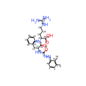 Cc1cccc(/N=N/C(=O)NC(Cc2ccccc2)C(=O)NC(CCCNC(N)N)C(=O)O)c1C